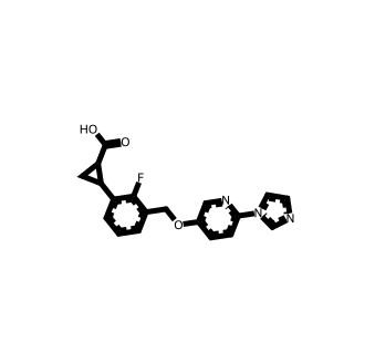 O=C(O)C1CC1c1cccc(COc2ccc(-n3ccnc3)nc2)c1F